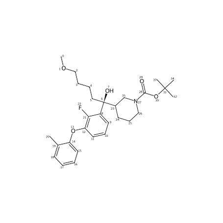 COCCCC[C@@](O)(c1cccc(Oc2ccccc2C)c1F)C1CCCN(C(=O)OC(C)(C)C)C1